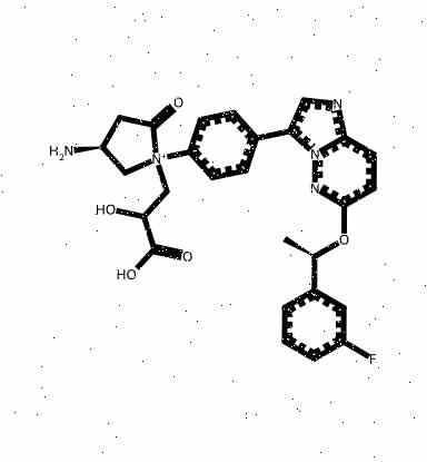 C[C@@H](Oc1ccc2ncc(-c3ccc([N+]4(CC(O)C(=O)O)C[C@@H](N)CC4=O)cc3)n2n1)c1cccc(F)c1